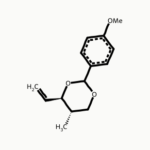 C=C[C@H]1OC(c2ccc(OC)cc2)OC[C@@H]1C